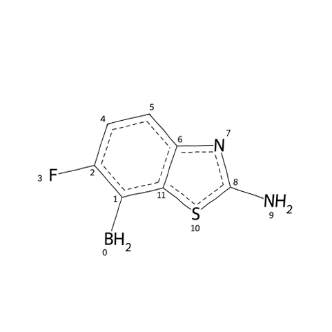 Bc1c(F)ccc2nc(N)sc12